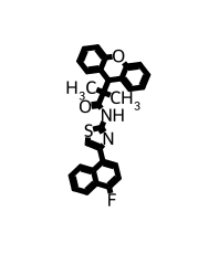 CC(C)(C(=O)Nc1nc(-c2ccc(F)c3ccccc23)cs1)C1c2ccccc2Oc2ccccc21